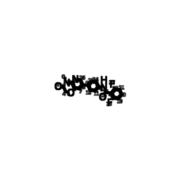 CN1C(=O)COc2cc(-c3ccc(NC(=O)c4c(F)cccc4F)cc3)cnc21